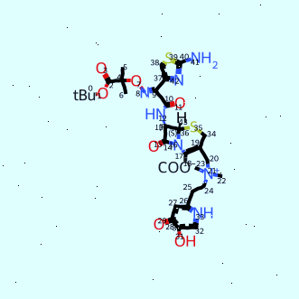 CC(C)(C)OC(=O)C(C)(C)ON=C(C(=O)N[C@@H]1C(=O)N2C(C(=O)[O-])=C(C[N+](C)(C)CCc3cc(=O)c(O)c[nH]3)CS[C@@H]12)c1csc(N)n1